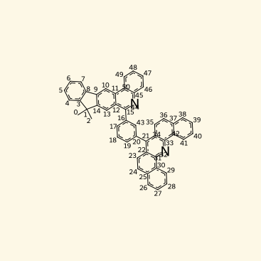 CC1(C)c2ccccc2-c2cc3c(cc21)c(-c1cccc(-c2c4ccc5ccccc5c4nc4c2ccc2ccccc24)c1)nc1ccccc13